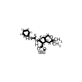 CC(C)(C)OC(=O)c1c(NC(=S)Nc2ccccc2)sc2c1CC(C)(C)OC2